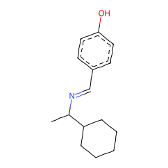 CC(N=Cc1ccc(O)cc1)C1CCCCC1